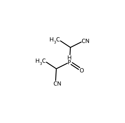 CC(C#N)[PH](=O)C(C)C#N